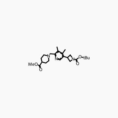 COC(=O)C1CCN(Cc2ncc(C3CN(C(=O)OC(C)(C)C)C3)c(C)c2C)CC1